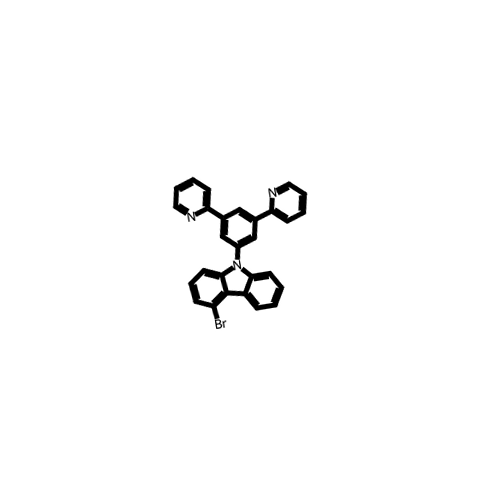 Brc1cccc2c1c1ccccc1n2-c1cc(-c2ccccn2)cc(-c2ccccn2)c1